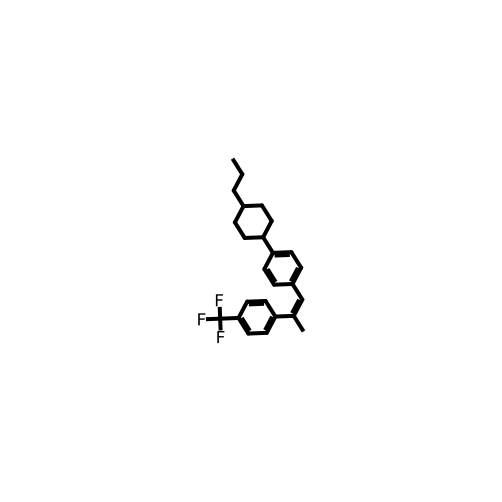 CCCC1CCC(c2ccc(C=C(C)c3ccc(C(F)(F)F)cc3)cc2)CC1